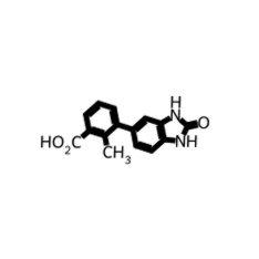 Cc1c(C(=O)O)cccc1-c1ccc2[nH]c(=O)[nH]c2c1